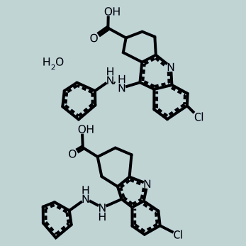 O.O=C(O)C1CCc2nc3cc(Cl)ccc3c(NNc3ccccc3)c2C1.O=C(O)C1CCc2nc3cc(Cl)ccc3c(NNc3ccccc3)c2C1